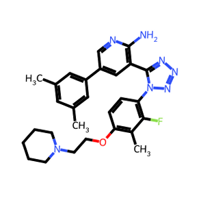 Cc1cc(C)cc(-c2cnc(N)c(-c3nnnn3-c3ccc(OCCN4CCCCC4)c(C)c3F)c2)c1